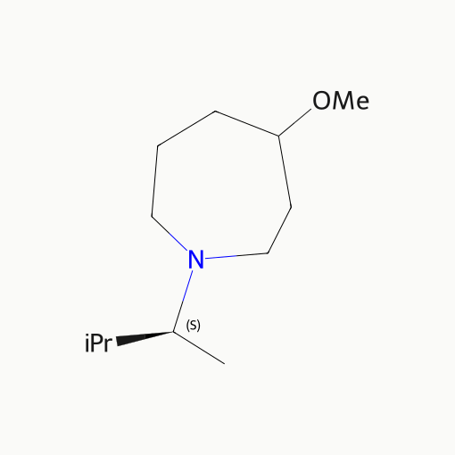 COC1CCCN([C@@H](C)C(C)C)CC1